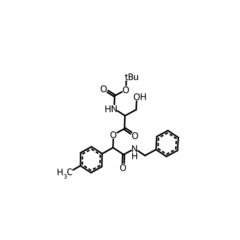 Cc1ccc(C(OC(=O)C(CO)NC(=O)OC(C)(C)C)C(=O)NCc2ccccc2)cc1